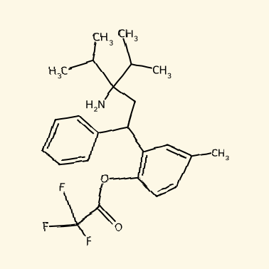 Cc1ccc(OC(=O)C(F)(F)F)c(C(CC(N)(C(C)C)C(C)C)c2ccccc2)c1